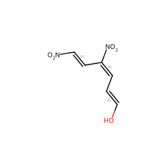 O=[N+]([O-])/C=C/C(=C\C=C\O)[N+](=O)[O-]